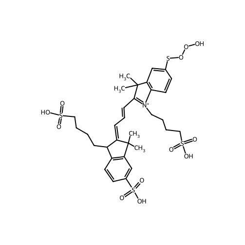 CC1(C)C(=CC=CC2=[N+](CCCCS(=O)(=O)O)c3ccc(SOOO)cc3C2(C)C)C(CCCCS(=O)(=O)O)c2ccc(S(=O)(=O)O)cc21